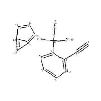 C#Cc1ncccc1C(F)(F)F.c1cc2cc-2c1